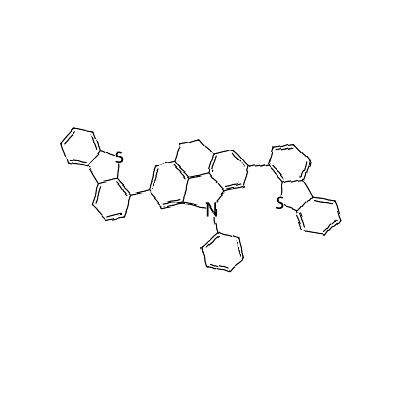 c1ccc(-n2c3cc(-c4cccc5c4sc4ccccc45)cc4c3c3c(cc(-c5cccc6c5sc5ccccc56)cc32)CC4)cc1